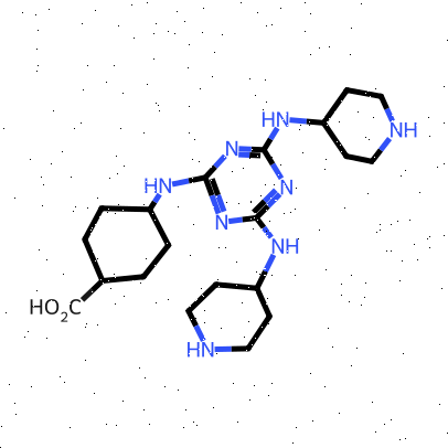 O=C(O)C1CCC(Nc2nc(NC3CCNCC3)nc(NC3CCNCC3)n2)CC1